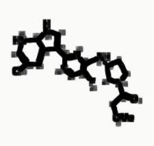 COCC(=O)N1CC[C@@H](Nc2nc(C3=CNC4NC=C(Cl)C=C34)ncc2F)C1